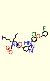 CCC[C@@H](C)C(CCCCI)(Cc1ccc(-c2ccc3ncnc(Nc4ccc(OCc5cccc(F)c5)c(Cl)c4)c3c2)o1)NCCS(C)(=O)=O